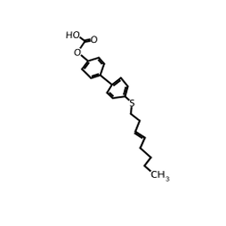 CCCCC=CCCSc1ccc(-c2ccc(OC(=O)O)cc2)cc1